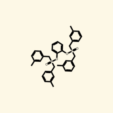 Cc1cccc(CP(=O)(Cc2cccc(C)c2)Oc2ccccc2OP(=O)(Cc2cccc(C)c2)Cc2cccc(C)c2)c1